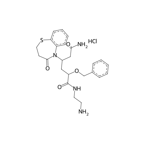 Cl.NCCNC(=O)C(CC(CC(N)=O)N1C(=O)CCSc2ccccc21)OCc1ccccc1